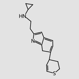 C1=CC(C2=CC=C3C=C(CCNC4CC4)N=C3C2)CCS1